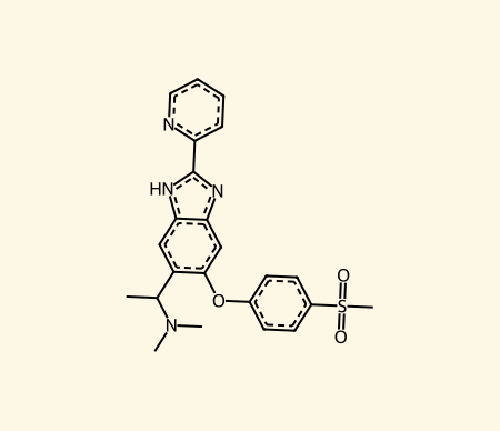 CC(c1cc2[nH]c(-c3ccccn3)nc2cc1Oc1ccc(S(C)(=O)=O)cc1)N(C)C